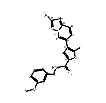 COc1cccc(CNC(=O)c2cc(-c3ccc4nc(N)nn4c3)c(C)s2)c1